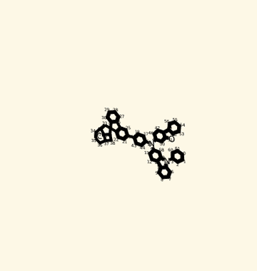 c1ccc(-n2c3ccccc3c3ccc(N(c4ccc(-c5ccc6c(c5)-c5ccccc5C65C6CC7CC8CC5C8(C7)C6)cc4)c4ccc5c(c4)oc4ccccc45)cc32)cc1